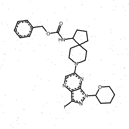 O=C(NC1CCCC12CCN(c1cnc3c(I)nn(C4CCCCO4)c3n1)CC2)OCc1ccccc1